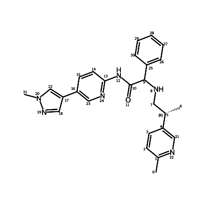 Cc1ccc([C@@H](C)CNC(C(=O)Nc2ccc(-c3cnn(C)c3)cn2)c2ccccc2)cn1